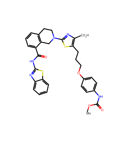 CC(C)(C)OC(=O)Nc1ccc(OCCCc2sc(N3CCc4cccc(C(=O)Nc5nc6ccccc6s5)c4C3)nc2C(=O)O)cc1